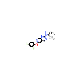 CC(C)Nc1ncc2cc(Oc3ccc(F)cc3F)ncc2n1